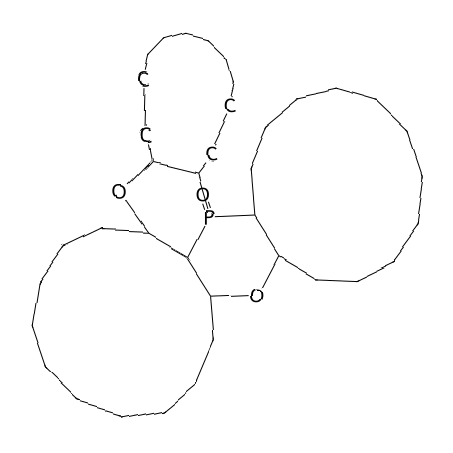 O=P12C3CCCCCCCCCCCC3OC3CCCCCCCCCCC(OC4CCCCCCCCCCC41)C32